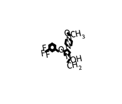 C=CC(O)N1C[C@@H](N2CCN(C(C)=O)CC2)[C@H](OCc2cccc(C(F)(F)F)c2)C1